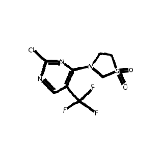 O=S1(=O)CCN(c2nc(Cl)ncc2C(F)(F)F)C1